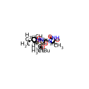 C=C(C)[C@H]1CC[C@@]2(C)OP(=S)(N[C@H]3C[C@H](n4cc(C)c(=O)[nH]c4=O)O[C@@H]3CO[Si](C)(C)C(C)(C)C)S[C@@H]2C1